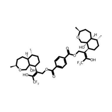 C[C@@H]1CC[C@@H](/C(COC(=O)c2ccc(C(=O)OC/C(=C(/O)C(F)(F)F)[C@@H]3CC[C@@H](C)[C@@H]4CC[C@H](C)OC[C@]34O)cc2)=C(\O)C(F)(F)F)[C@@]2(O)CO[C@@H](C)CC[C@@H]12